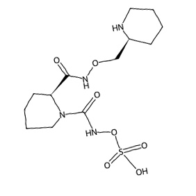 O=C(NOC[C@@H]1CCCCN1)[C@@H]1CCCCN1C(=O)NOS(=O)(=O)O